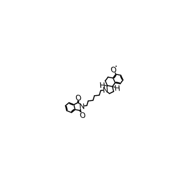 COc1cccc2c1CC[C@@H]1[C@H]2CCN1CCCCCCN1C(=O)c2ccccc2C1=O